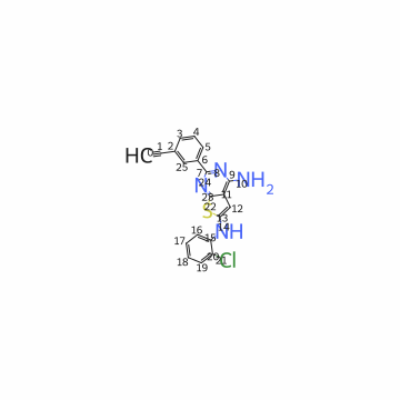 C#Cc1cccc(-c2nc(N)c3cc(Nc4ccccc4Cl)sc3n2)c1